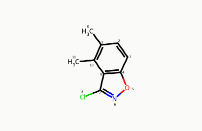 Cc1ccc2onc(Cl)c2c1C